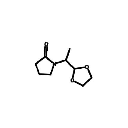 CC(C1OCCO1)N1CCCC1=O